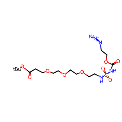 CC(C)(C)OC(=O)CCOCCOCCOCCNS(=O)(=O)NC(=O)OCCN=[N+]=[N-]